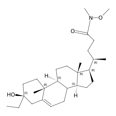 CC[C@]1(O)CC[C@@]2(C)C(=CCC3[C@@H]4CC[C@H]([C@H](C)CCC(=O)N(C)OC)[C@@]4(C)CC[C@@H]32)C1